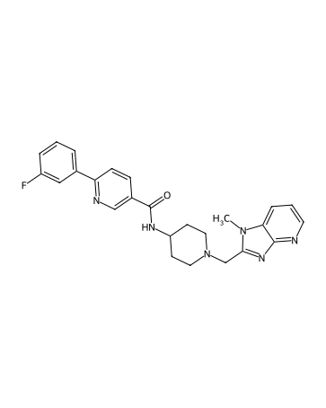 Cn1c(CN2CCC(NC(=O)c3ccc(-c4cccc(F)c4)nc3)CC2)nc2ncccc21